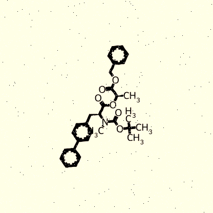 C[C@@H](OC(=O)[C@H](Cc1ccc(-c2ccccc2)cc1)N(C)C(=O)OC(C)(C)C)C(=O)OCc1ccccc1